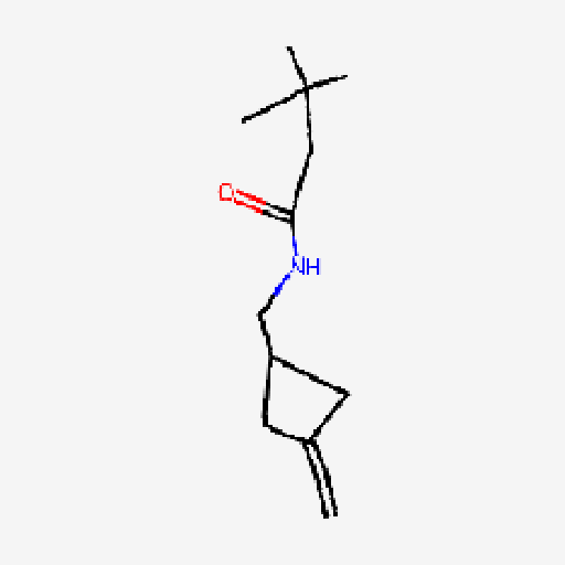 C=C1CC(CNC(=O)CC(C)(C)C)C1